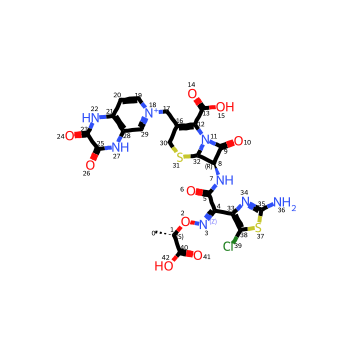 C[C@H](O/N=C(\C(=O)N[C@@H]1C(=O)N2C(C(=O)O)=C(C[n+]3ccc4[nH]c(=O)c(=O)[nH]c4c3)CSC12)c1nc(N)sc1Cl)C(=O)O